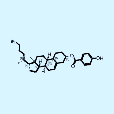 CC(C)CCC[C@@H](C)[C@H]1CC[C@H]2[C@@H]3CC=C4C[C@@H](OC(=O)c5ccc(O)cc5)CC[C@]4(C)[C@H]3CC[C@]12C